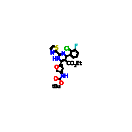 CCOC(=O)C1=C([C@@H]2C[C@H](NC(=O)OC(C)(C)C)CO2)NC(c2nccs2)=NC1c1cccc(F)c1Cl